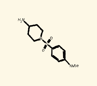 CNc1ccc(S(=O)(=O)N2CCC(N)CC2)cc1